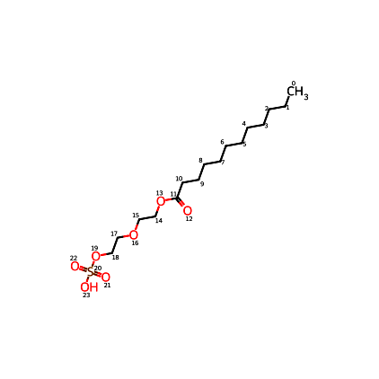 CCCCCCCCCCCC(=O)OCCOCCOS(=O)(=O)O